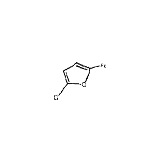 CCc1ccc(Cl)o1